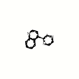 [c]1nccnc1-c1ccnc2ccccc12